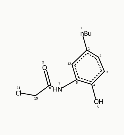 CCCCc1ccc(O)c(NC(=O)CCl)c1